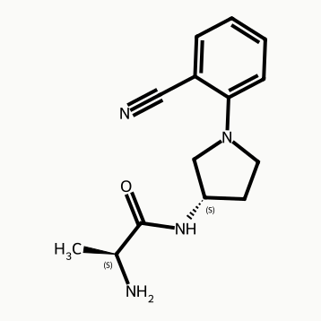 C[C@H](N)C(=O)N[C@H]1CCN(c2ccccc2C#N)C1